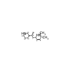 CN[C@H](C)/C=C\CC[C@H](I)C1CCCNC1